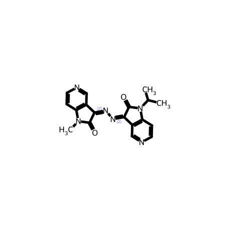 CC(C)N1C(=O)/C(=N\N=C2/C(=O)N(C)c3ccncc32)c2cnccc21